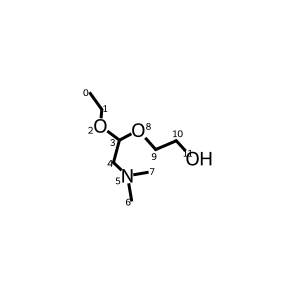 CCOC(CN(C)C)OCCO